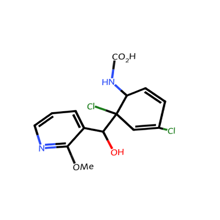 COc1ncccc1C(O)C1(Cl)C=C(Cl)C=CC1NC(=O)O